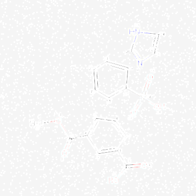 COC(=O)c1cccc(C(=O)O)c1.O=S(=O)(O)c1ccccc1.c1c[nH]cn1